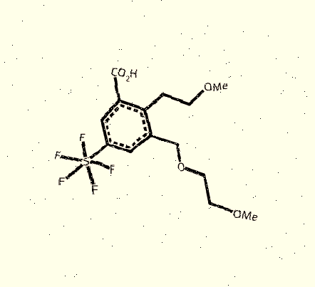 COCCOCc1cc(S(F)(F)(F)(F)F)cc(C(=O)O)c1CCOC